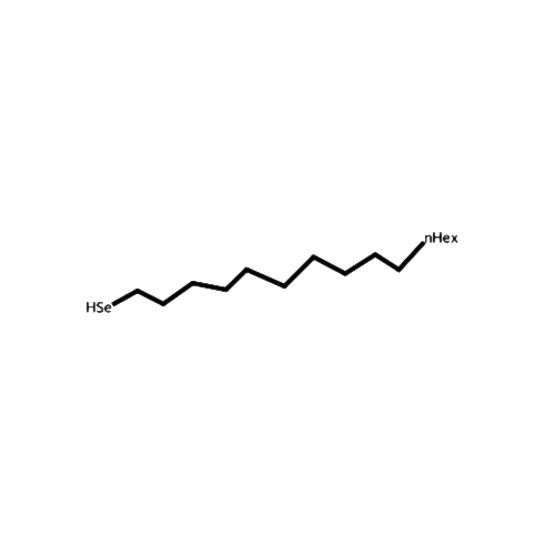 CCCCCCCCCCCCCCCC[SeH]